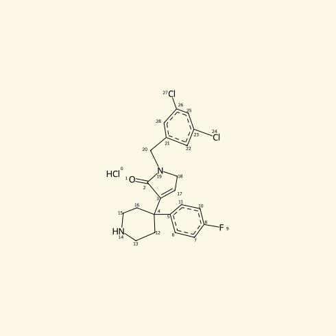 Cl.O=C1C(C2(c3ccc(F)cc3)CCNCC2)=CCN1Cc1cc(Cl)cc(Cl)c1